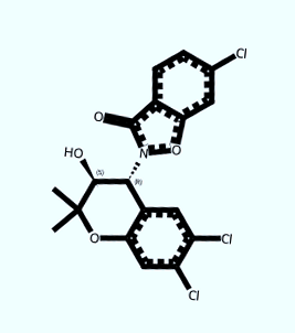 CC1(C)Oc2cc(Cl)c(Cl)cc2[C@@H](n2oc3cc(Cl)ccc3c2=O)[C@@H]1O